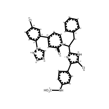 O=C(O)Nc1ccc(-c2nc(C(Cc3ccccc3)n3ccc(-c4cc(Cl)ccc4-n4cnnn4)cc3=O)[nH]c2Cl)cc1